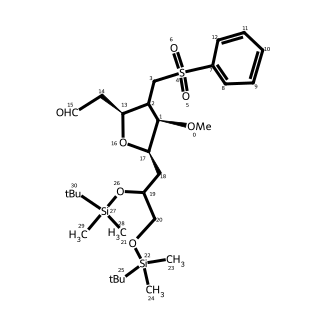 CO[C@@H]1C(CS(=O)(=O)c2ccccc2)[C@H](CC=O)O[C@@H]1CC(CO[Si](C)(C)C(C)(C)C)O[Si](C)(C)C(C)(C)C